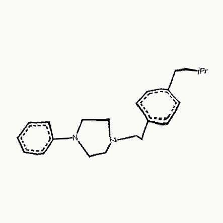 CC(C)Cc1ccc(CN2CCN(c3ccccc3)CC2)cc1